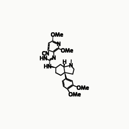 COc1ccc(N=C(NC#N)N[C@@H]2CC[C@@]3(c4ccc(OC)c(OC)c4)CCN(C)[C@H]3C2)c(OC)n1